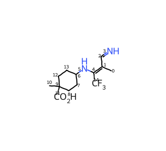 C/C(C=N)=C(/NC1CCC(C)(C(=O)O)CC1)C(F)(F)F